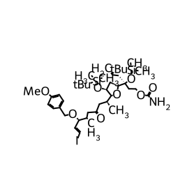 C=CC[C@@](CCOC(N)=O)(O[Si](C)(C)C(C)(C)C)[C@@H]1C[C@H](O[Si](C)(C)C(C)(C)C)[C@H]([C@@H](C)CC(=O)C[C@H](C)[C@@H](/C=C/I)OCc2ccc(OC)cc2)O1